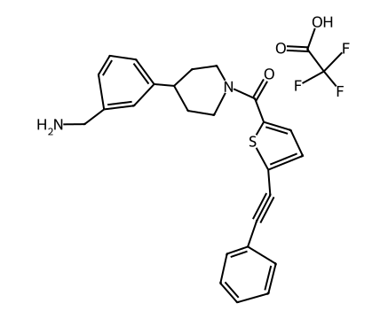 NCc1cccc(C2CCN(C(=O)c3ccc(C#Cc4ccccc4)s3)CC2)c1.O=C(O)C(F)(F)F